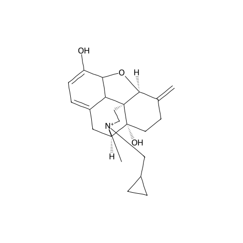 C=C1CC[C@@]2(O)[C@H]3CC4=CC=C(O)C5O[C@@H]1[C@]2(CC[N+]3(C)CC1CC1)C45